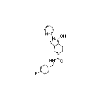 O=C(NCc1ccc(F)cc1)N1CCc2c(nn(-c3ccccn3)c2O)C1